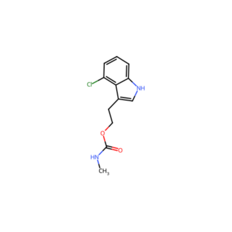 CNC(=O)OCCc1c[nH]c2cccc(Cl)c12